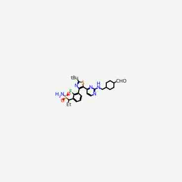 CCC(c1cccc(-c2nc(C(C)(C)C)sc2-c2ccnc(NCC3CCC(C=O)CC3)n2)c1F)S(N)(=O)=O